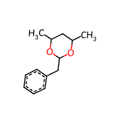 CC1CC(C)OC(Cc2ccccc2)O1